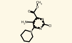 COC(=O)c1nc(Cl)nc(N2CCCCC2)c1N